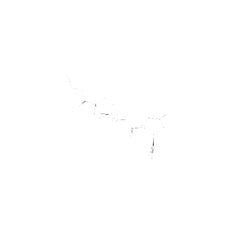 CCOC(=O)C12CCC(NCC(=O)N3C[C@@H](F)C[C@H]3C#N)(CC1)C2